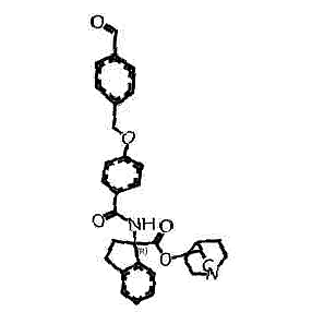 O=Cc1ccc(COc2ccc(C(=O)N[C@]3(C(=O)OC4CN5CCC4CC5)CCc4ccccc43)cc2)cc1